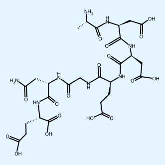 C[C@H](N)C(=O)N[C@@H](CC(=O)O)C(=O)N[C@@H](CC(=O)O)C(=O)N[C@@H](CCC(=O)O)C(=O)NCC(=O)N[C@@H](CC(N)=O)C(=O)N[C@@H](CCC(=O)O)C(=O)O